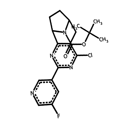 CC(C)(C)OC(=O)N1C2CCC1c1nc(-c3cncc(F)c3)nc(Cl)c1C2